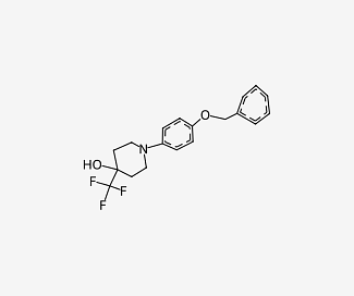 OC1(C(F)(F)F)CCN(c2ccc(OCc3ccccc3)cc2)CC1